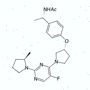 CC(=O)N[C@@H](C)c1ccc(O[C@@H]2CCN(c3nc(N4CCC[C@H]4C)ncc3F)C2)cc1